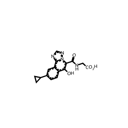 O=C(O)CNC(=O)c1c(O)c2ccc(C3CC3)cc2c2ncnn12